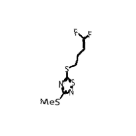 CSc1nsc(SCCC=C(F)F)n1